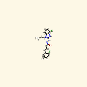 CCCn1c(C[N]C(=O)CCCc2cc(F)ccc2F)nc2c(F)cccc21